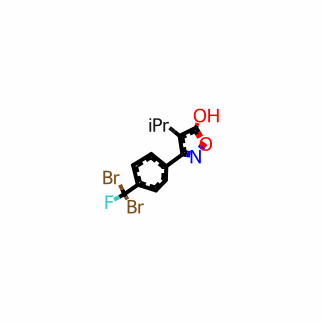 CC(C)c1c(-c2ccc(C(F)(Br)Br)cc2)noc1O